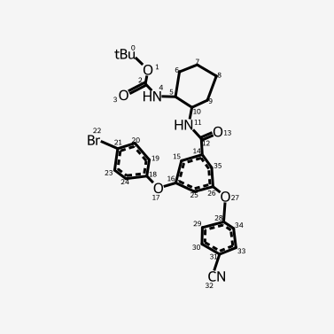 CC(C)(C)OC(=O)NC1CCCCC1NC(=O)c1cc(Oc2ccc(Br)cc2)cc(Oc2ccc(C#N)cc2)c1